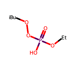 CCOP(=O)(O)OOC(C)CC